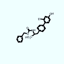 CCc1cc(O)ccc1-c1ccc(CC(NC(=O)OCc2ccccc2)C(=O)O)cc1